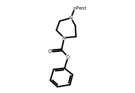 CCCCCN1CCN(C(=O)Oc2ccccc2)CC1